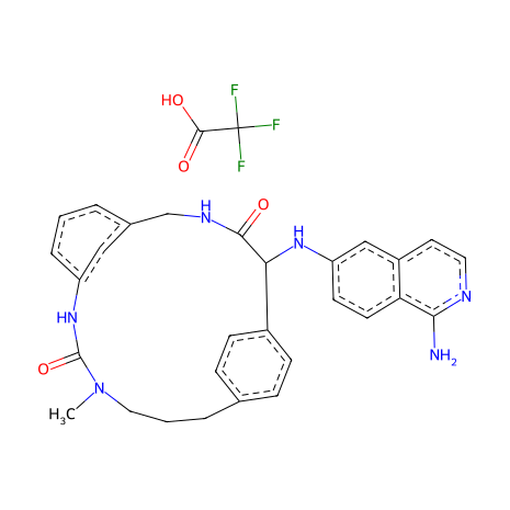 CN1CCCc2ccc(cc2)C(Nc2ccc3c(N)nccc3c2)C(=O)NCc2cccc(c2)NC1=O.O=C(O)C(F)(F)F